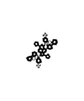 CS(C)(C)c1ccc(N(c2cc(C3CCCC3)c3ccc4c(N(c5ccc(S(C)(C)C)cc5)c5cccc6c5oc5ccccc56)cc(C5CCCC5)c5ccc2c3c54)c2cccc3c2oc2ccccc23)cc1